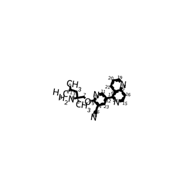 CC(C)C[C@](C)(N)COc1ncc(-c2nccc3ncccc23)cc1C#N